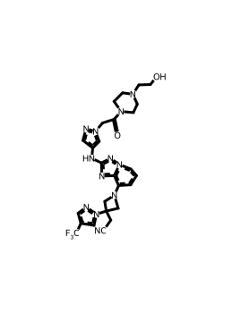 N#CCC1(n2cc(C(F)(F)F)cn2)CN(c2cccn3nc(Nc4cnn(CC(=O)N5CCN(CCO)CC5)c4)nc23)C1